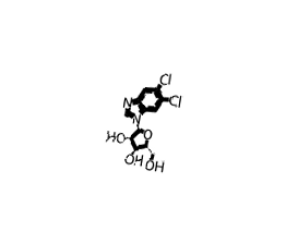 OC[C@H]1O[C@H](n2cnc3cc(Cl)c(Cl)cc32)[C@@H](O)[C@@H]1O